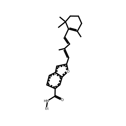 CCNC(=O)c1ccc2cc(/C=C(C)/C=C/C3=C(C)CCCC3(C)C)oc2c1